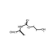 C=C(C=O)NC(=O)OCCO